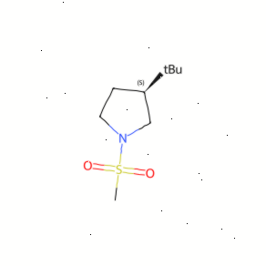 CC(C)(C)[C@@H]1CCN(S(C)(=O)=O)C1